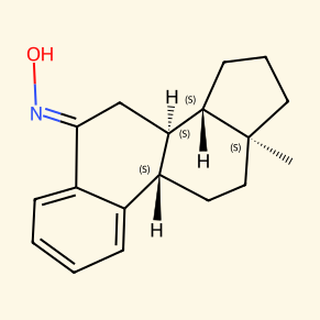 C[C@@]12CCC[C@H]1[C@@H]1CC(=NO)c3ccccc3[C@H]1CC2